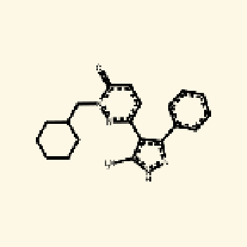 Nc1[nH]nc(-c2ccccc2)c1-c1ccc(=O)n(CC2CCCCC2)n1